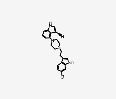 N#Cc1c[nH]c2cccc(N3CCN(CCc4c[nH]c5cc(Cl)ccc45)CC3)c12